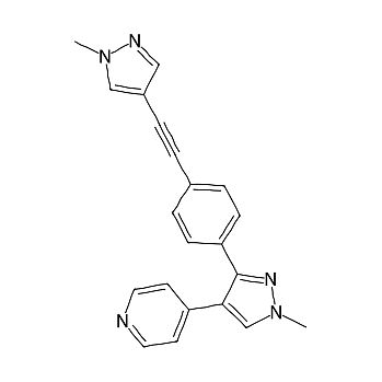 Cn1cc(C#Cc2ccc(-c3nn(C)cc3-c3ccncc3)cc2)cn1